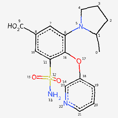 CC1CCCN1c1cc(C(=O)O)cc(S(N)(=O)=O)c1Oc1cccnc1